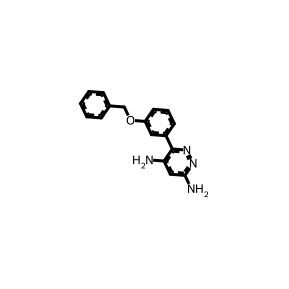 Nc1cc(N)c(-c2cccc(OCc3ccccc3)c2)nn1